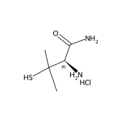 CC(C)(S)[C@H](N)C(N)=O.Cl